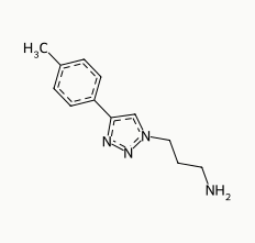 Cc1ccc(-c2cn(CCCN)nn2)cc1